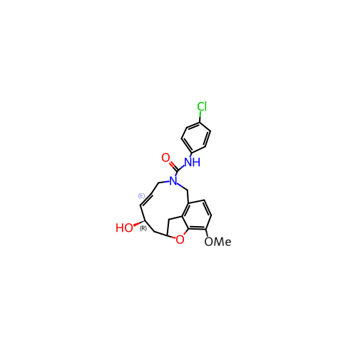 COc1ccc2c3c1OC(C3)C[C@@H](O)/C=C/CN(C(=O)Nc1ccc(Cl)cc1)C2